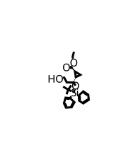 CCOC(=O)[C@H]1C[C@@H]1C(CCO)O[Si](c1ccccc1)(c1ccccc1)C(C)(C)C